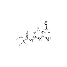 CCC(C)(I)C(=O)Oc1ccc(C(C)=O)c(O)c1